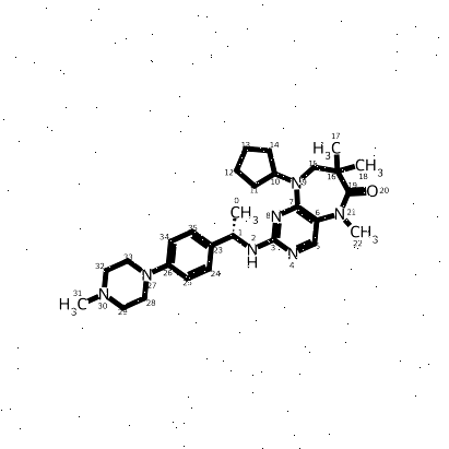 C[C@H](Nc1ncc2c(n1)N(C1CCCC1)CC(C)(C)C(=O)N2C)c1ccc(N2CCN(C)CC2)cc1